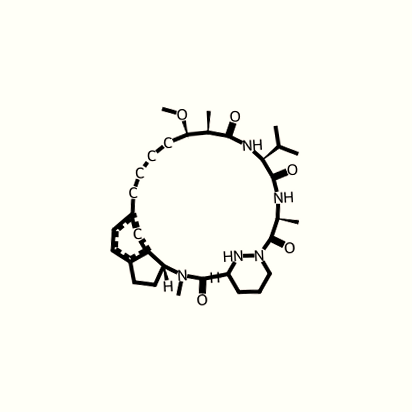 CO[C@@H]1CCCCc2ccc3c(c2)[C@@H](CC3)N(C)C(=O)[C@@H]2CCCN(N2)C(=O)[C@H](C)NC(=O)[C@H](C(C)C)NC(=O)[C@@H]1C